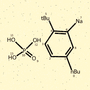 CCCCc1ccc(C(C)(C)C)[c]([Na])c1.O=P(O)(O)O